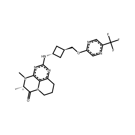 C[C@H]1C(=O)N2CCCc3nc(N[C@H]4C[C@H](COc5cnc(C(F)(F)F)cn5)C4)nc(c32)N1C